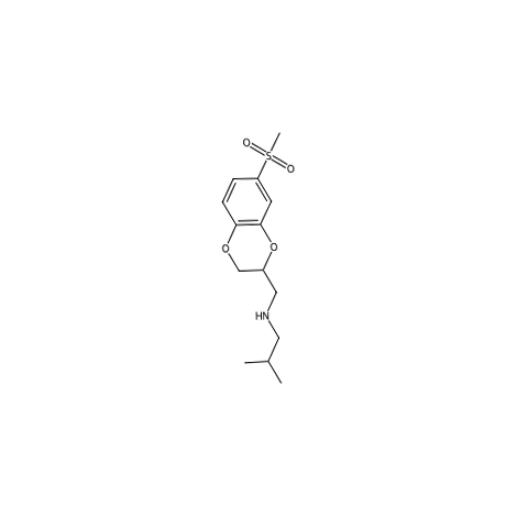 CC(C)CNCC1COc2ccc(S(C)(=O)=O)cc2O1